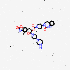 Cc1cc(C[C@@H](OC(=O)N2CCC(N3CCc4ccccc4NC3=O)CC2)C(=O)N2CCC(N3CCCNCC3)CC2)cc2oc(=O)n(C)c12